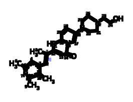 C/C(=C\c1cc(C)nc(C)c1C)C1=CC(=O)N2C=C(N3CCN(CCO)CC3)C=CC2P1